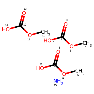 COC(=O)O.COC(=O)O.COC(=O)O.N